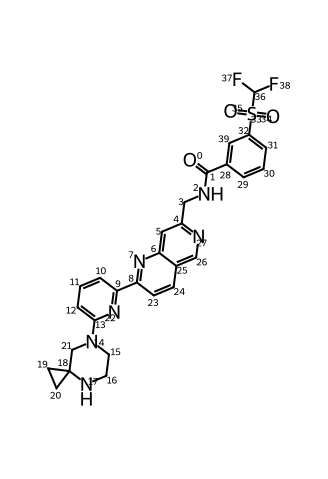 O=C(NCc1cc2nc(-c3cccc(N4CCNC5(CC5)C4)n3)ccc2cn1)c1cccc(S(=O)(=O)C(F)F)c1